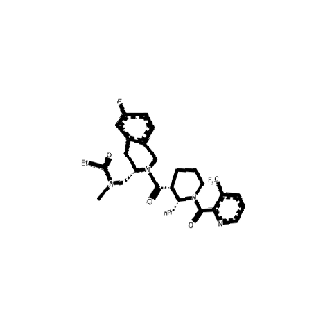 CCC[C@@H]1[C@H](C(=O)N2Cc3ccc(F)cc3C[C@H]2CN(C)C(=O)CC)CCCN1C(=O)c1ncccc1C(F)(F)F